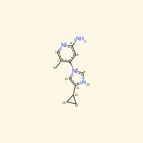 Cc1cnc(N)cc1-n1cnc(C2CC2)c1